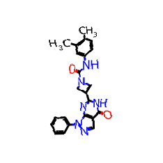 Cc1ccc(NC(=O)N2CC(c3nc4c(cnn4-c4ccccc4)c(=O)[nH]3)C2)cc1C